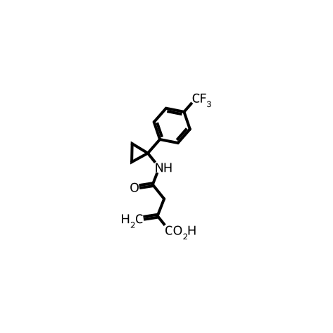 C=C(CC(=O)NC1(c2ccc(C(F)(F)F)cc2)CC1)C(=O)O